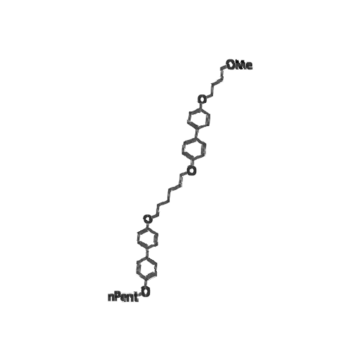 CCCCCOc1ccc(-c2ccc(OCCCCCCOc3ccc(-c4ccc(OCCCCOC)cc4)cc3)cc2)cc1